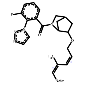 CN/C=C(\C=C/COC1CC2CC1N(C(=O)c1cccc(F)c1-n1ccnn1)C2)C(F)(F)F